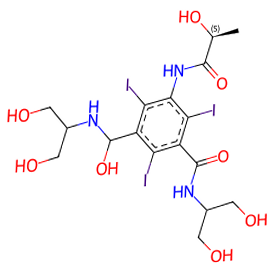 C[C@H](O)C(=O)Nc1c(I)c(C(=O)NC(CO)CO)c(I)c(C(O)NC(CO)CO)c1I